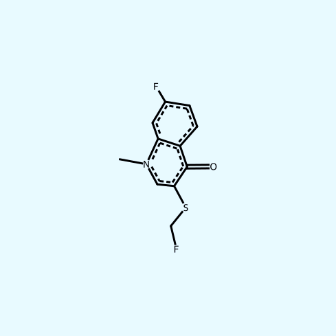 Cn1cc(SCF)c(=O)c2ccc(F)cc21